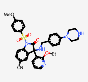 CCOc1ncccc1C1(NCc2ccc(N3CCNCC3)cc2)C(=O)N(S(=O)(=O)c2ccc(OC)cc2)c2ccc(C#N)cc21